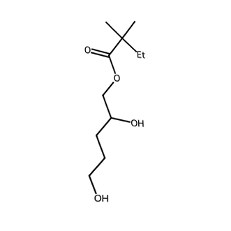 CCC(C)(C)C(=O)OCC(O)CCCO